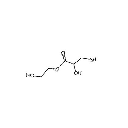 O=C(OCCO)C(O)CS